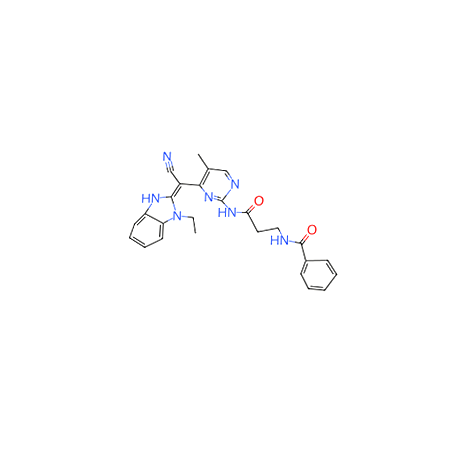 CCN1C(=C(C#N)c2nc(NC(=O)CCNC(=O)c3ccccc3)ncc2C)Nc2ccccc21